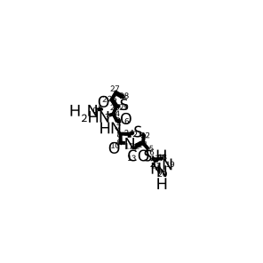 NC(=O)NC(C(=O)N[C@@H]1C(=O)N2C(C(=O)O)=C(CSc3cn[nH]n3)CSC12)c1cccs1